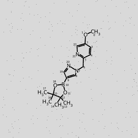 COc1ccc(Cn2cc(B3OC(C)(C)C(C)(C)O3)cn2)nc1